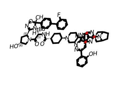 CC(C)(C)[C@H](NC(=O)[C@H]1CC[C@H](N2CCC(c3cnc(N4C5CCC4CN(c4c[nH]c6nnc(-c7ccccc7O)cc46)C5)nc3)CC2)CC1)C(=O)N1C[C@H](O)C[C@H]1C1=NO[C@](C)(c2ccc(-c3ccccc3F)cc2)N1